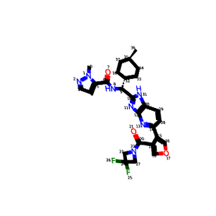 Cn1nccc1C(=O)NC(c1nc2nc(-c3cocc3C(=O)N3CC(F)(F)C3)ccc2[nH]1)[C@H]1CC[C@H](C)CC1